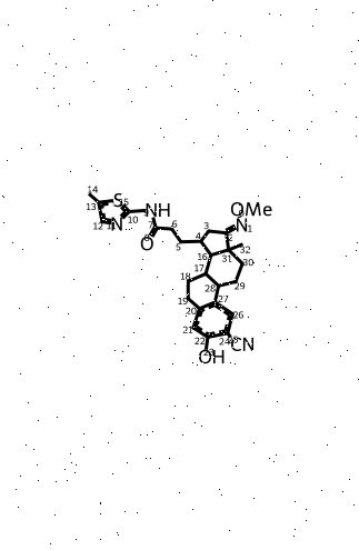 CO/N=C1\CC(CCC(=O)Nc2ncc(C)s2)C2C3CCc4cc(O)c(C#N)cc4C3CCC12C